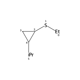 CCSC1CC1C(C)C